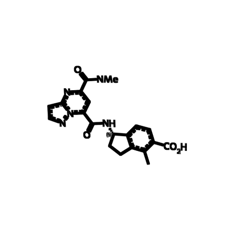 CNC(=O)c1cc(C(=O)N[C@H]2CCc3c2ccc(C(=O)O)c3C)n2nccc2n1